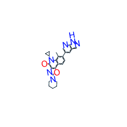 Cc1c(-c2cnc3[nH]ncc3c2)ccc2c3oc(N4CCCCC4)nc3c(=O)n(C3CC3)c12